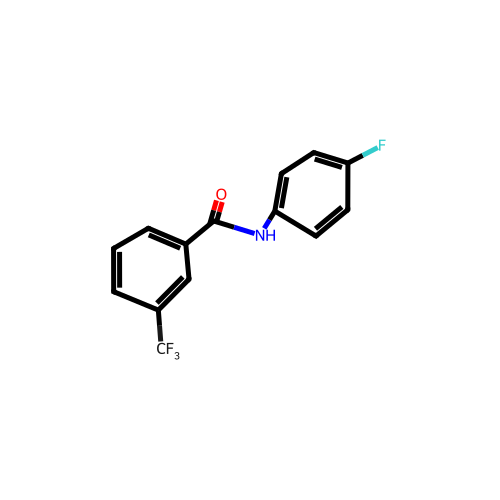 O=C(Nc1ccc(F)cc1)c1cccc(C(F)(F)F)c1